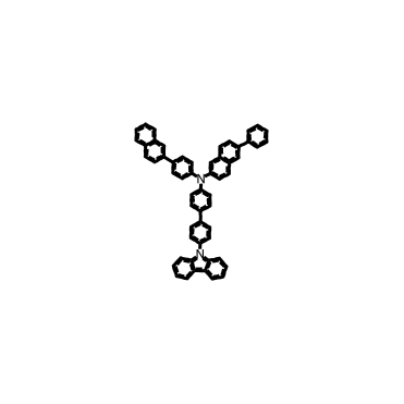 c1ccc(-c2ccc3cc(N(c4ccc(-c5ccc(-n6c7ccccc7c7ccccc76)cc5)cc4)c4ccc(-c5ccc6ccccc6c5)cc4)ccc3c2)cc1